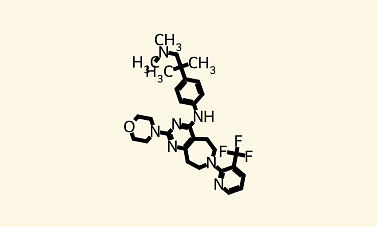 CN(C)CC(C)(C)c1ccc(Nc2nc(N3CCOCC3)nc3c2CCN(c2ncccc2C(F)(F)F)CC3)cc1